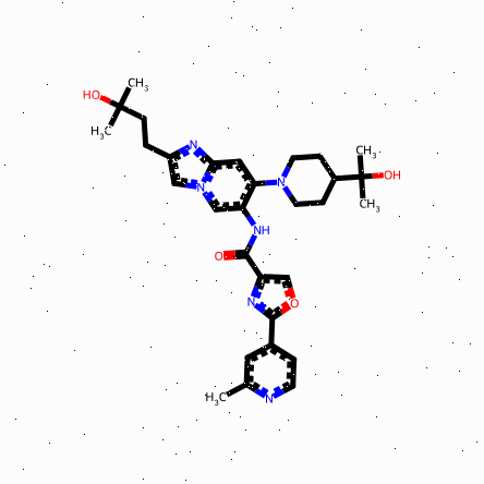 Cc1cc(-c2nc(C(=O)Nc3cn4cc(CCC(C)(C)O)nc4cc3N3CCC(C(C)(C)O)CC3)co2)ccn1